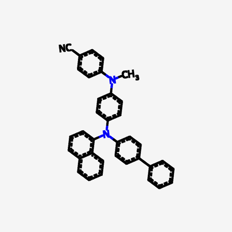 CN(c1ccc(C#N)cc1)c1ccc(N(c2ccc(-c3ccccc3)cc2)c2cccc3ccccc23)cc1